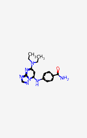 CCN(CC)c1cc(Nc2ccc(C(N)=O)cc2)n2ncnc2n1